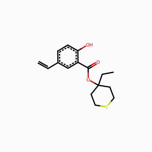 C=Cc1ccc(O)c(C(=O)OC2(CC)CCSCC2)c1